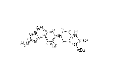 CC(C)(C)OC(=O)NC1CCN(c2ccc(-n3nc(N)nc3N)cc2F)CC1